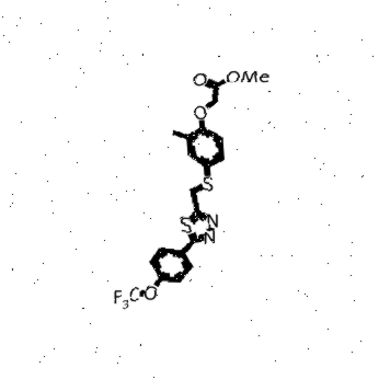 COC(=O)COc1ccc(SCc2nnc(-c3ccc(OC(F)(F)F)cc3)s2)cc1C